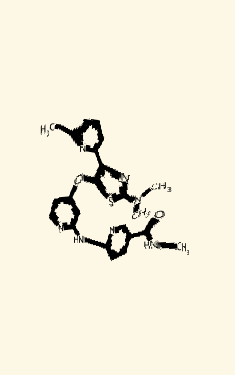 CNC(=O)c1ccc(Nc2cc(Oc3sc(N(C)C)nc3-c3cccc(C)n3)ccn2)nc1